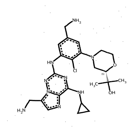 CC(C)(O)[C@@H]1CN(c2cc(CN)cc(Nc3nc(NC4CC4)c4ncc(CN)n4n3)c2Cl)CCO1